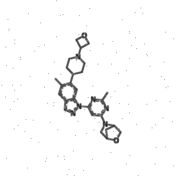 Cc1nc(N2CC3CC2CO3)cc(-n2ncc3cc(C)c(C4CCN(C5COC5)CC4)cc32)n1